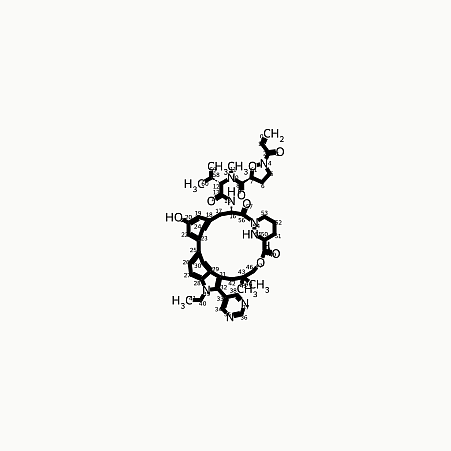 C=CC(=O)N1CC[C@@H](C(=O)N(C)[C@H](C(=O)N[C@H]2Cc3cc(O)cc(c3)-c3ccc4c(c3)c(c(-c3cncnc3)n4CC)CC(C)(C)COC(=O)[C@@H]3CCCN(N3)C2=O)C(C)C)O1